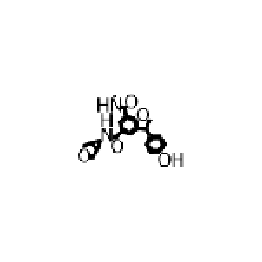 CNC(=O)c1cc(C(=O)NC2C3COCC32)cc2c1OCC2c1ccc(O)cc1